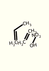 C=C.C=CC.O=[N+]([O-])O